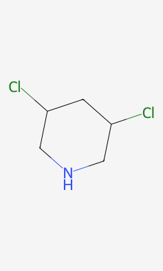 ClC1CNCC(Cl)C1